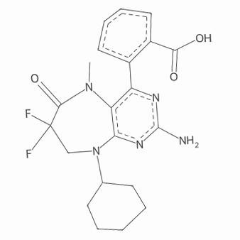 CN1C(=O)C(F)(F)CN(C2CCCCC2)c2nc(N)nc(-c3ccccc3C(=O)O)c21